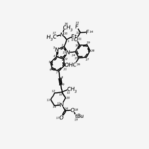 CCC(c1nc2ccc(C#CC3(C)CCCN(C(=O)OC(C)(C)C)C3)cc2n1-c1c(C=O)cccc1OC(F)F)N(C)C